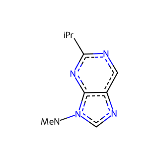 CNn1cnc2cnc(C(C)C)nc21